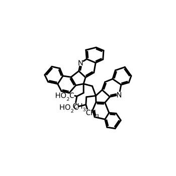 CC(CC1(CC2(CC(C)C(=O)O)c3cc4ccccc4nc3-c3c2ccc2ccccc32)c2cc3ccccc3nc2-c2c1ccc1ccccc21)C(=O)O